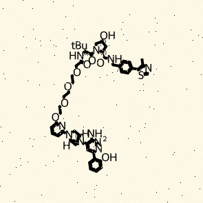 Cc1ncsc1-c1ccc(CNC(=O)[C@@H]2C[C@@H](O)CN2C(=O)[C@@H](NC(=O)COCCOCCOCCOc2cccc(N3C[C@H]4C[C@@H]3CN4c3cc(-c4ccccc4O)nnc3N)n2)C(C)(C)C)cc1